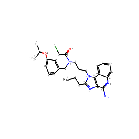 CCC(Oc1cccc(CN(CCCn2c(CCOC)nc3c(N)nc4ccccc4c32)C(=O)CCl)c1)C(=O)O